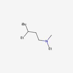 CCC(C)C(CC)CCN(C)CC